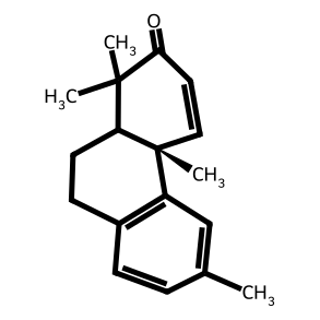 Cc1ccc2c(c1)[C@@]1(C)C=CC(=O)C(C)(C)C1CC2